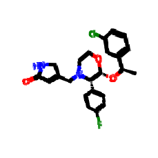 C[C@@H](O[C@H]1OCCN(CC2=CC(=O)NC2)[C@H]1c1ccc(F)cc1)c1cccc(Cl)c1